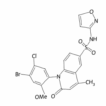 COc1cc(Br)c(Cl)cc1-n1c(=O)cc(C)c2cc(S(=O)(=O)Nc3ccon3)ccc21